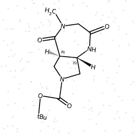 CN1CC(=O)N[C@@H]2CN(C(=O)OC(C)(C)C)C[C@H]2C1=O